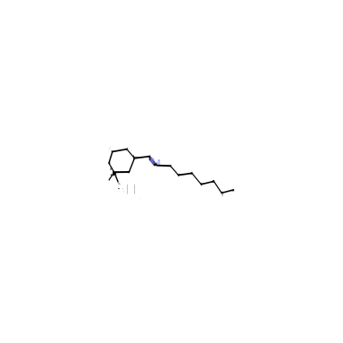 BC1(C)CCCC(/C=C/CCCCCCC)C1